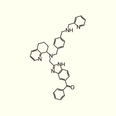 O=C(c1ccccc1)c1ccc2[nH]c(CN(Cc3ccc(CNCc4ccccn4)cc3)C3CCCc4cccnc43)nc2c1